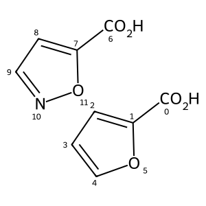 O=C(O)c1ccco1.O=C(O)c1ccno1